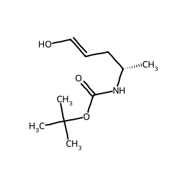 C[C@@H](CC=CO)NC(=O)OC(C)(C)C